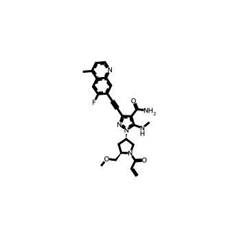 C=CC(=O)N1C[C@@H](n2nc(C#Cc3cc4nccc(C)c4cc3F)c(C(N)=O)c2NC)C[C@@H]1COC